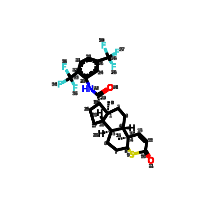 C[C@]12CC[C@H]3[C@@H](CCC4SC(=O)C=C[C@@]43C)[C@@H]1CC[C@@H]2C(=O)Nc1cc(C(F)(F)F)ccc1C(F)(F)F